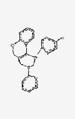 Brc1ccc(N2CN(c3ccccc3)CC3=C2c2ccccc2OC3)cc1